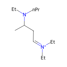 CCCN(CC)C(C)CC=[N+](CC)CC